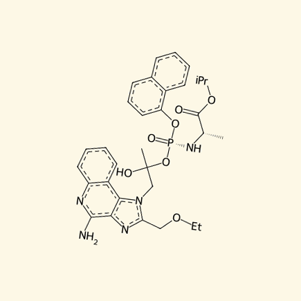 CCOCc1nc2c(N)nc3ccccc3c2n1CC(C)(O)O[P@](=O)(N[C@@H](C)C(=O)OC(C)C)Oc1cccc2ccccc12